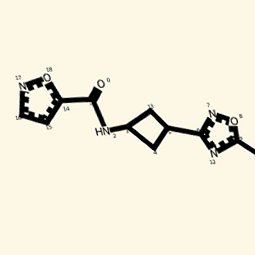 O=C(NC1CC(c2noc(CO)n2)C1)c1ccno1